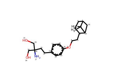 CC1(C)C2CCC(CCOc3ccc(CCC(N)(CO)CO)cc3)C1C2